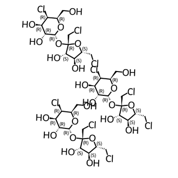 OC[C@H]1O[C@H](O[C@]2(CCl)O[C@H](CCl)[C@@H](O)[C@@H]2O)[C@H](O)[C@@H](O)[C@H]1Cl.OC[C@H]1O[C@H](O[C@]2(CCl)O[C@H](CCl)[C@@H](O)[C@@H]2O)[C@H](O)[C@@H](O)[C@H]1Cl.OC[C@H]1O[C@H](O[C@]2(CCl)O[C@H](CCl)[C@@H](O)[C@@H]2O)[C@H](O)[C@@H](O)[C@H]1Cl